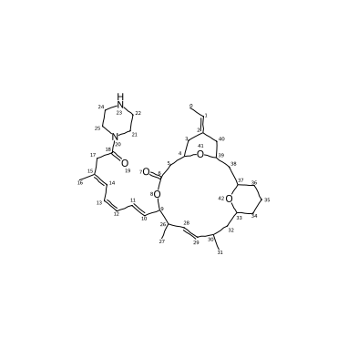 C/C=C1\CC2CC(=O)OC(/C=C/C=C\C=C(/C)CC(=O)N3CCNCC3)C(C)/C=C/C(C)CC3CCCC(CC(C1)O2)O3